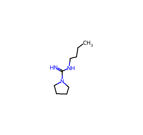 CCCCNC(=N)N1CCCC1